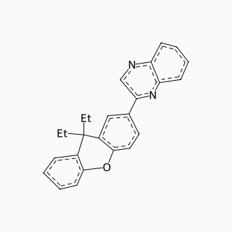 CCC1(CC)c2ccccc2Oc2ccc(-c3cnc4ccccc4n3)cc21